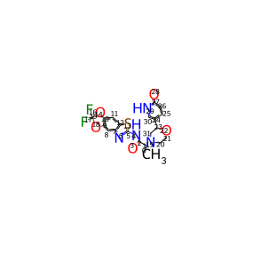 C[C@@H](C(=O)Nc1nc2cc3c(cc2s1)OC(F)(F)O3)N1CCO[C@H](c2ccc(=O)[nH]c2)C1